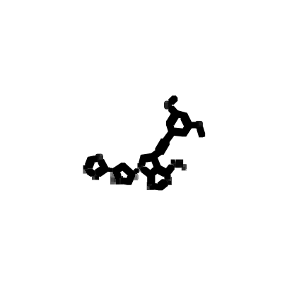 COc1cc(C#Cc2cn([C@@H]3CN[C@H](c4nnco4)C3)c3ncnc(N)c23)cc(OC)c1